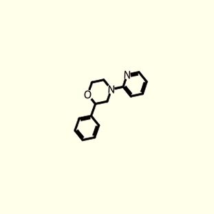 c1ccc(C2CN(c3ccccn3)CCO2)cc1